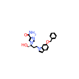 NC(=O)c1cn([C@@H](CO)CCn2ccc3ccc(OCc4ccccc4)cc32)cn1